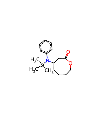 C[Si](C)(C)N(c1ccccc1)C1CCCCOC(=O)C1